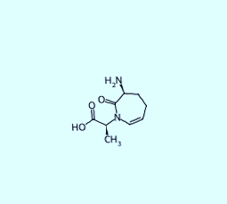 C[C@@H](C(=O)O)N1C=CCC[C@H](N)C1=O